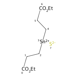 CCOC(=O)C[CH2][Sn+2][CH2]CC(=O)OCC.[S-2]